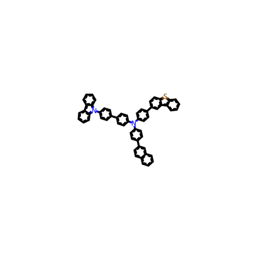 c1ccc2cc(-c3ccc(N(c4ccc(-c5ccc(-n6c7ccccc7c7ccccc76)cc5)cc4)c4ccc(-c5ccc6sc7ccccc7c6c5)cc4)cc3)ccc2c1